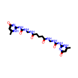 Cc1cc(=O)nc(NC(=O)NCNC(=O)CCCC(=O)NCNC(=O)Nc2nc(=O)cc(C)[nH]2)[nH]1